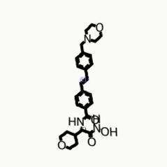 O=C(N[C@H](C(=O)NO)C1CCOCC1)c1ccc(/C=C/c2ccc(CN3CCOCC3)cc2)cc1